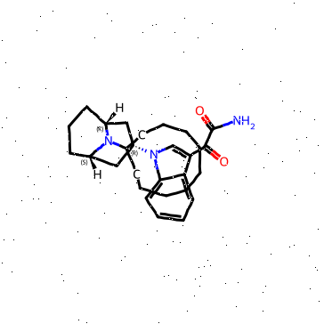 NC(=O)C(=O)c1cn([C@H]2C[C@H]3CCC[C@@H](C2)N3C2CCCCCCCCC2)c2ccccc12